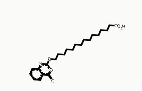 O=C(O)CCCCCCCCCCCCCCOc1nc2ccccc2c(=O)o1